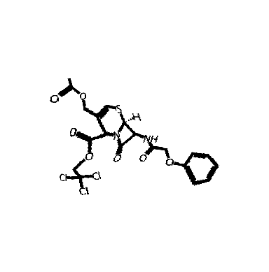 CC(=O)OCC1=CS[C@H]2C(NC(=O)COc3ccccc3)C(=O)N2C1C(=O)OCC(Cl)(Cl)Cl